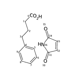 O=C(O)CCCc1ccccc1.O=C1C=CC(=O)N1